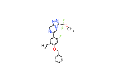 COC(F)(F)c1nnc2cnc(-c3cc(C)c(OCc4ccccc4)cc3F)cn12